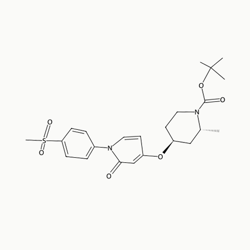 C[C@@H]1C[C@@H](Oc2ccn(-c3ccc(S(C)(=O)=O)cc3)c(=O)c2)CCN1C(=O)OC(C)(C)C